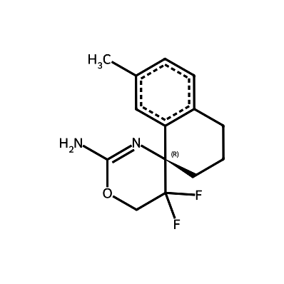 Cc1ccc2c(c1)[C@@]1(CCC2)N=C(N)OCC1(F)F